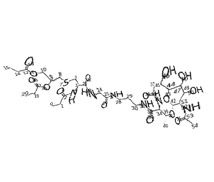 CCC(=O)N[C@@H](CSCC(COC(=O)CC)OC(=O)CC)C(=O)NCC(=O)NCCCNC(=O)[C@@H](NC(C)=O)[C@@H](C)O[C@@H]1OC(CO)[C@@H](O)C(O)C1NC(C)=O